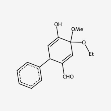 CCOC1(OC)C=C(C=O)C(c2ccccc2)C=C1O